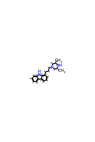 C[C@@H]1CN(CCCc2cccc3c2[nH]c2ccccc23)C[C@H](C)N1